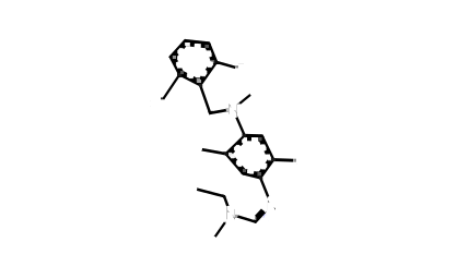 CCN(C)/C=N\c1cc(C)c(N(C)Cc2c(F)cccc2Cl)cc1Cl